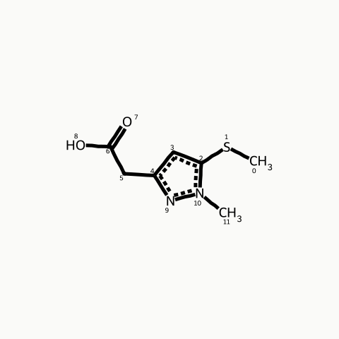 CSc1cc(CC(=O)O)nn1C